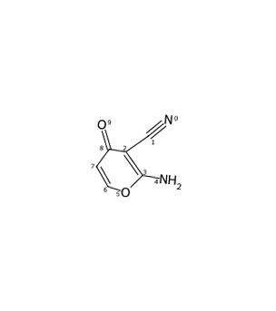 N#Cc1c(N)occc1=O